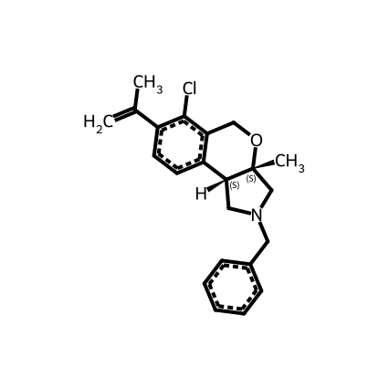 C=C(C)c1ccc2c(c1Cl)CO[C@]1(C)CN(Cc3ccccc3)C[C@H]21